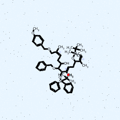 C/C=C(/C)C(C/C=C(\C)C(O[Si](c1ccccc1)(c1ccccc1)C(C)(C)C)C(OCc1ccccc1)C(O)C/C=C(/C)COCc1ccc(OC)cc1)O[Si](C)(C)C(C)(C)C